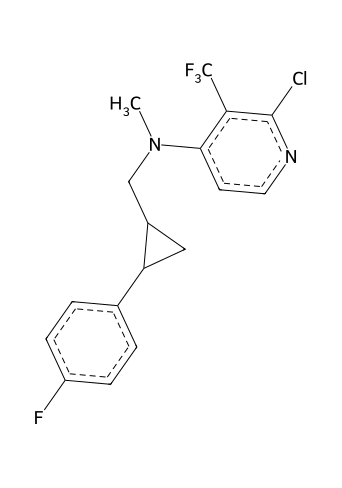 CN(CC1CC1c1ccc(F)cc1)c1ccnc(Cl)c1C(F)(F)F